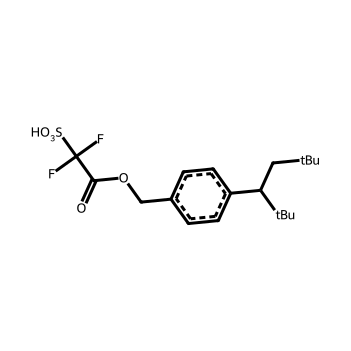 CC(C)(C)CC(c1ccc(COC(=O)C(F)(F)S(=O)(=O)O)cc1)C(C)(C)C